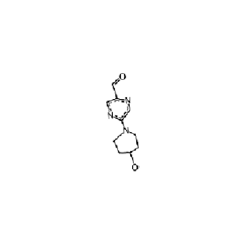 [O]C1CCN(c2cnc(C=O)cn2)CC1